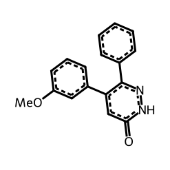 COc1cccc(-c2cc(=O)[nH]nc2-c2ccccc2)c1